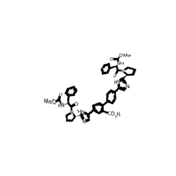 COC(=O)N[C@@H](C(=O)N1CCC[C@H]1c1ncc(-c2ccc(-c3ccc(-c4cnc([C@@H]5CCCN5C(=O)[C@H](NC(=O)OC)c5ccccc5)[nH]4)cc3C(=O)O)cc2)[nH]1)c1ccccc1